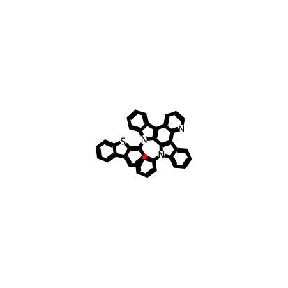 c1ccc(-n2c3ccccc3c3c4ncccc4c4c5ccccc5n(-c5cccc6c5sc5ccccc56)c4c32)cc1